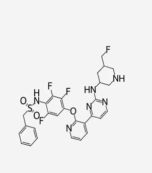 O=S(=O)(Cc1ccccc1)Nc1c(F)cc(Oc2ncccc2-c2ccnc(NC3CNCC(CF)C3)n2)c(F)c1F